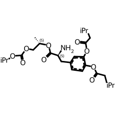 CC(C)CC(=O)Oc1ccc(C[C@H](N)C(=O)O[C@@H](C)COC(=O)OC(C)C)cc1OC(=O)CC(C)C